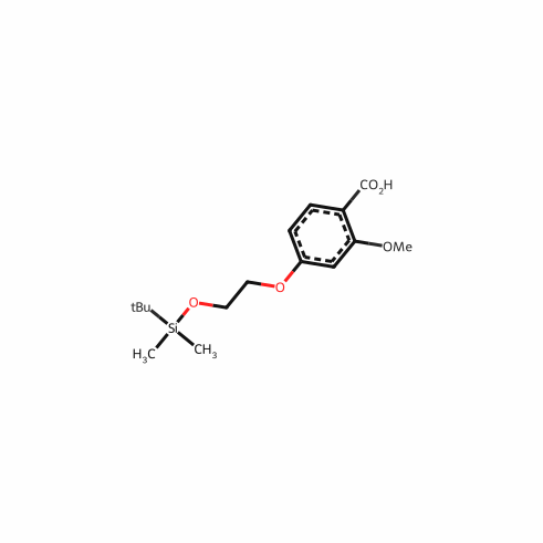 COc1cc(OCCO[Si](C)(C)C(C)(C)C)ccc1C(=O)O